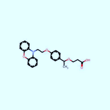 CC(OCCC(=O)O)c1ccc(OCCN2c3ccccc3Oc3ccccc32)cc1